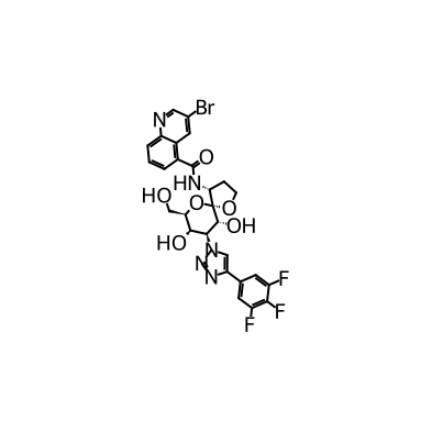 O=C(N[C@@H]1CCO[C@]12O[C@H](CO)[C@H](O)[C@H](n1cc(-c3cc(F)c(F)c(F)c3)nn1)[C@H]2O)c1cccc2ncc(Br)cc12